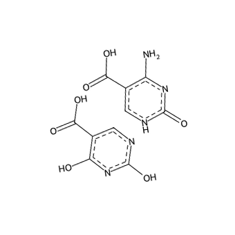 Nc1nc(=O)[nH]cc1C(=O)O.O=C(O)c1cnc(O)nc1O